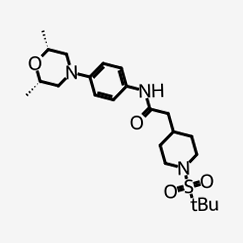 C[C@@H]1CN(c2ccc(NC(=O)CC3CCN(S(=O)(=O)C(C)(C)C)CC3)cc2)C[C@H](C)O1